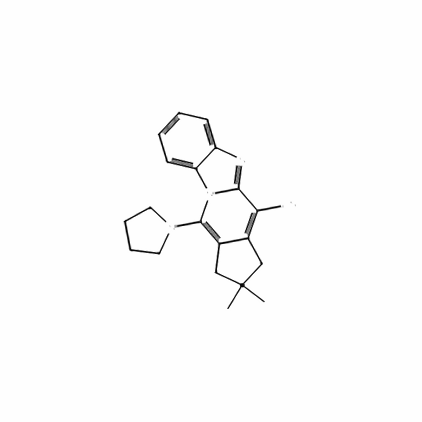 CC1(C)Cc2c(c(N3CCCC3)n3c(nc4ccccc43)c2C#N)C1